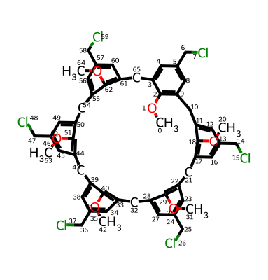 COc1c2cc(CCl)cc1Cc1cc(CCl)cc(c1OC)Cc1cc(CCl)cc(c1OC)Cc1cc(CCl)cc(c1OC)Cc1cc(CCl)cc(c1OC)Cc1cc(CCl)cc(c1OC)C2